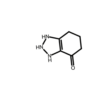 O=C1CCCC2=C1NNN2